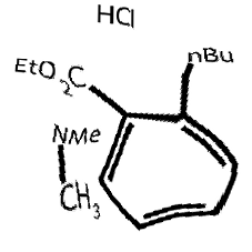 CCCCc1ccccc1C(=O)OCC.CNC.Cl